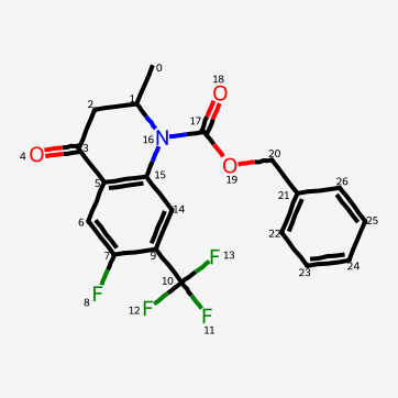 CC1CC(=O)c2cc(F)c(C(F)(F)F)cc2N1C(=O)OCc1ccccc1